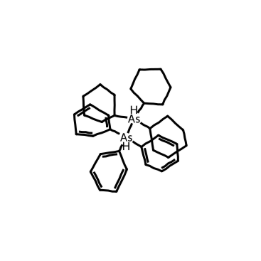 c1ccc([AsH](c2ccccc2)(c2ccccc2)[AsH](C2CCCCC2)(C2CCCCC2)C2CCCCC2)cc1